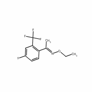 CCO/N=C(\C)c1ccc(F)cc1C(F)(F)F